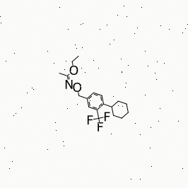 CCO/C(C)=N\OCc1ccc(C2CCCCC2)c(C(F)(F)F)c1